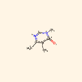 Cc1ncn(C)c(=O)c1C